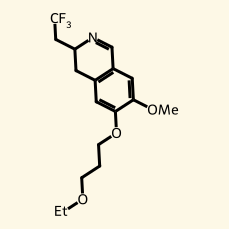 CCOCCCOc1cc2c(cc1OC)C=NC(CC(F)(F)F)C2